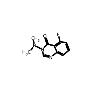 CN(C)n1cnc2cccc(F)c2c1=O